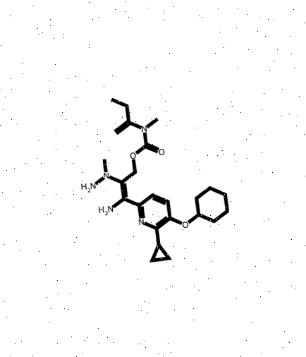 C=C(CC)N(C)C(=O)OC/C(=C(/N)c1ccc(OC2CCCCC2)c(C2CC2)n1)N(C)N